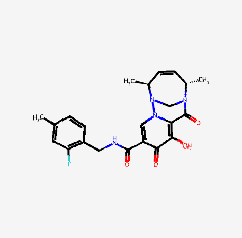 Cc1ccc(CNC(=O)c2cn3c(c(O)c2=O)C(=O)N2CN3[C@@H](C)C=C[C@@H]2C)c(F)c1